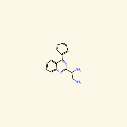 NCC(N)c1nc(-c2ccccc2)c2ccccc2n1